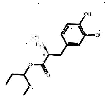 CCC(CC)OC(=O)[C@@H](N)Cc1ccc(O)c(O)c1.Cl